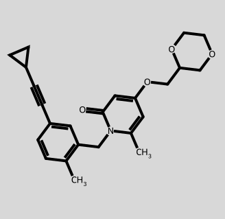 Cc1ccc(C#CC2CC2)cc1Cn1c(C)cc(OCC2COCCO2)cc1=O